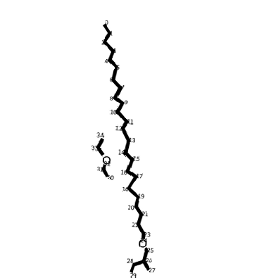 CCCCCCCCCCCCCCCCCCCCCCCCOCC(C)CC.CCOCC